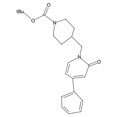 CC(C)(C)OC(=O)N1CCC(Cn2ccc(-c3ccccc3)cc2=O)CC1